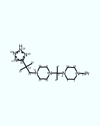 CC(C)N1CCN(C(C)(C)N2CCN(CC(C)(C)c3nn[nH]n3)CC2)CC1